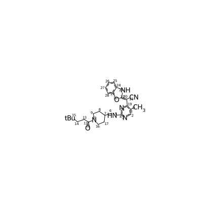 Cc1cnc(NCC2CCN(C(=O)CCC(C)(C)C)CC2)nc1/C(C#N)=C1/Nc2ccccc2O1